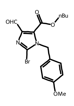 CCCCOC(=O)c1c(C=O)nc(Br)n1Cc1ccc(OC)cc1